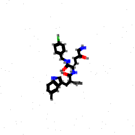 CC(=O)N[C@@H](Cc1c[nH]c2ccc(C)cc12)C(=O)N[C@@H](CCC(=O)C=N)C(=O)NCc1ccc(F)cc1